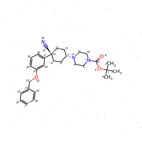 CC(C)(C)OC(=O)N1CCN([C@H]2CC[C@@](C#N)(c3cccc(OCc4ccccc4)c3)CC2)CC1